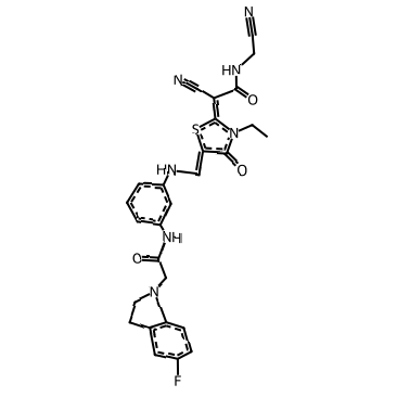 CCn1c(=C(C#N)C(=O)NCC#N)sc(=CNc2cccc(NC(=O)CN3CCc4cc(F)ccc43)c2)c1=O